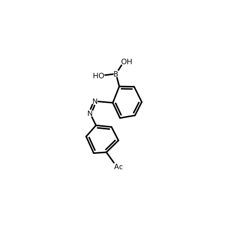 CC(=O)c1ccc(/N=N\c2ccccc2B(O)O)cc1